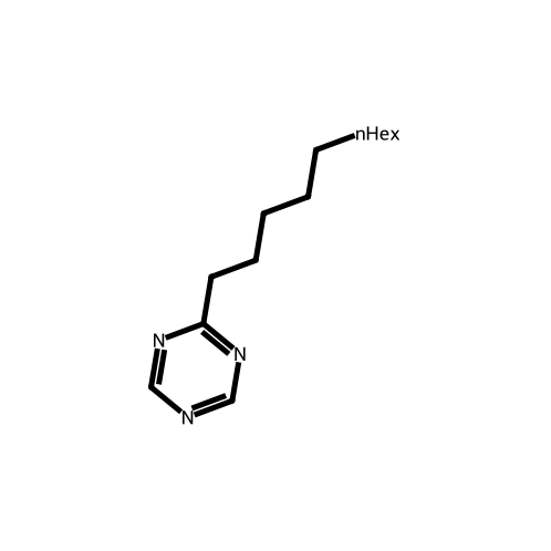 CCCCCCCCCCCc1ncncn1